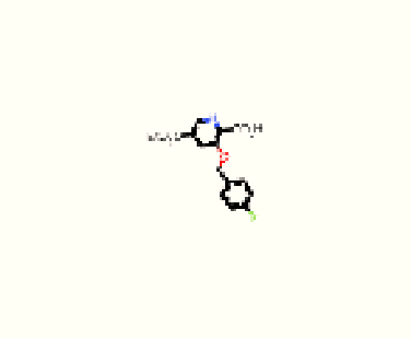 CCOC(=O)c1cnc(C(=O)O)c(OCc2ccc(F)cc2)c1